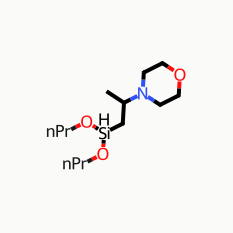 CCCO[SiH](CC(C)N1CCOCC1)OCCC